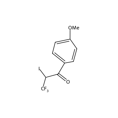 COc1ccc(C(=O)C(I)C(F)(F)F)cc1